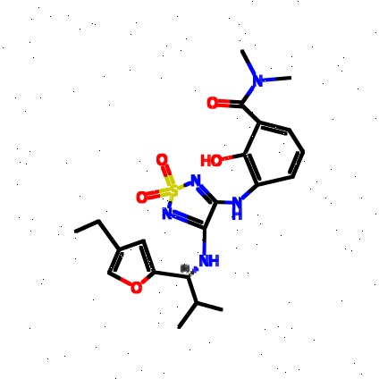 CCc1coc([C@H](NC2=NS(=O)(=O)N=C2Nc2cccc(C(=O)N(C)C)c2O)C(C)C)c1